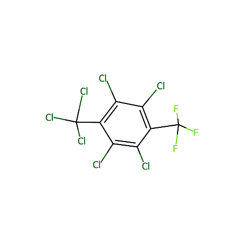 FC(F)(F)c1c(Cl)c(Cl)c(C(Cl)(Cl)Cl)c(Cl)c1Cl